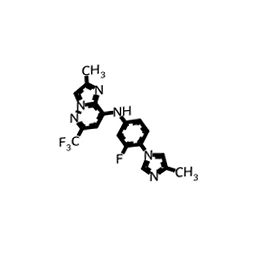 Cc1cn(-c2ccc(Nc3cc(C(F)(F)F)nn4cc(C)nc34)cc2F)cn1